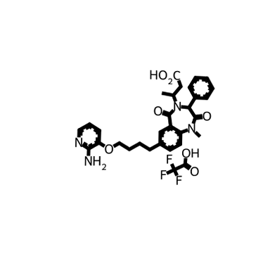 CC(CC(=O)O)N1C(=O)c2cc(CCCCOc3cccnc3N)ccc2N(C)C(=O)C1c1ccccc1.O=C(O)C(F)(F)F